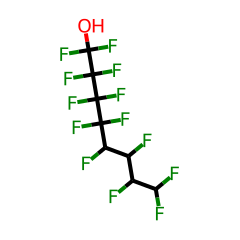 OC(F)(F)C(F)(F)C(F)(F)C(F)(F)C(F)C(F)C(F)C(F)F